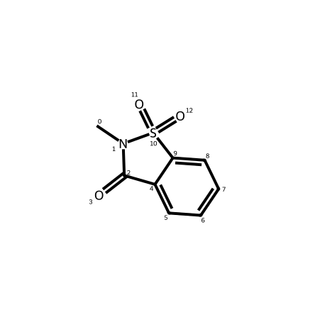 CN1C(=O)c2ccccc2S1(=O)=O